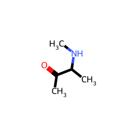 CNC(C)C(C)=O